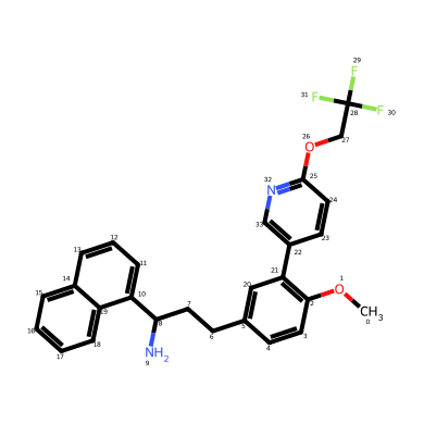 COc1ccc(CCC(N)c2cccc3ccccc23)cc1-c1ccc(OCC(F)(F)F)nc1